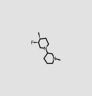 C[C@H]1CCN(C2CCCN(C)C2)C[C@H]1F